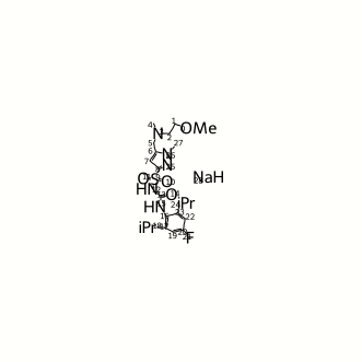 COCCN(C)Cc1cc(S(=O)(=O)NC(=O)Nc2c(C(C)C)cc(F)cc2C(C)C)nn1C.[NaH]